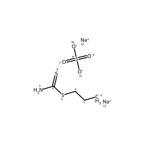 CCCSC(N)=S.O=S(=O)([O-])[O-].[Na+].[Na+]